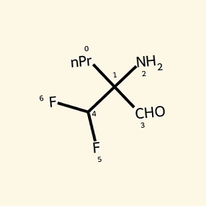 CCCC(N)(C=O)C(F)F